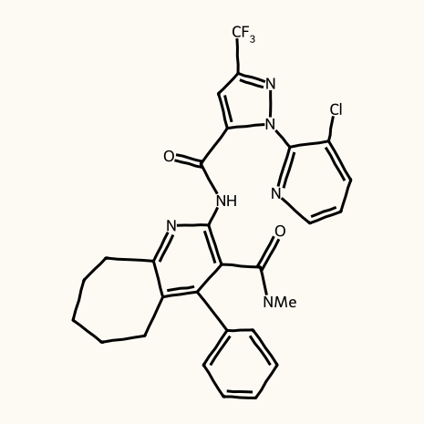 CNC(=O)c1c(NC(=O)c2cc(C(F)(F)F)nn2-c2ncccc2Cl)nc2c(c1-c1ccccc1)CCCCC2